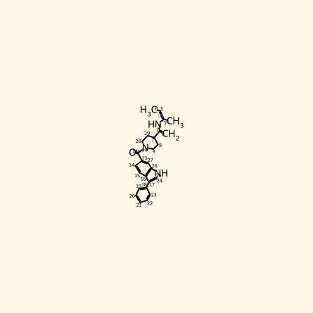 C=C(N/C(C)=C\C)C1CCN(C(=O)c2ccc3c(-c4ccccc4)c[nH]c3c2)CC1